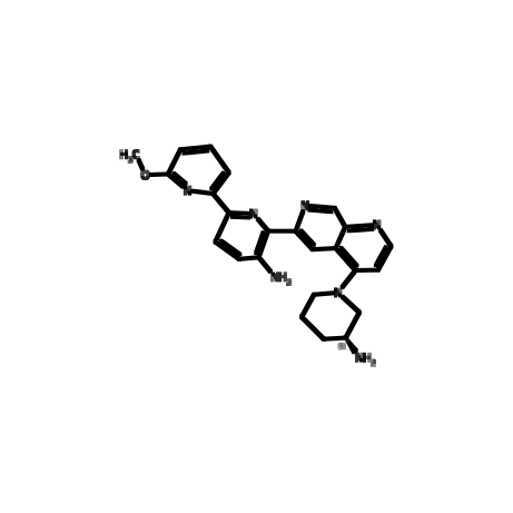 COc1cccc(-c2ccc(N)c(-c3cc4c(N5CCC[C@H](N)C5)ccnc4cn3)n2)n1